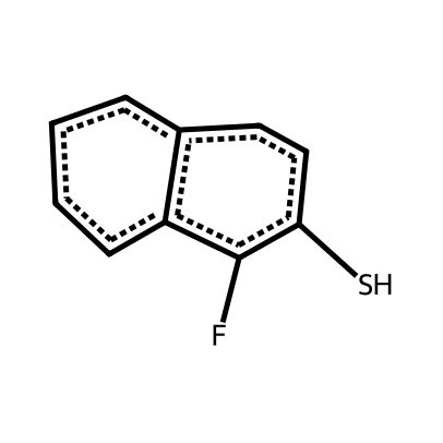 Fc1c(S)ccc2ccccc12